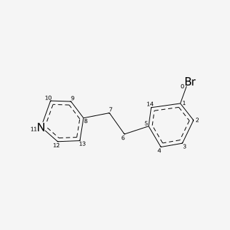 Brc1cccc(CCc2ccncc2)c1